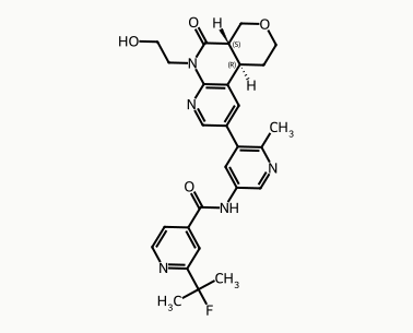 Cc1ncc(NC(=O)c2ccnc(C(C)(C)F)c2)cc1-c1cnc2c(c1)[C@@H]1CCOC[C@H]1C(=O)N2CCO